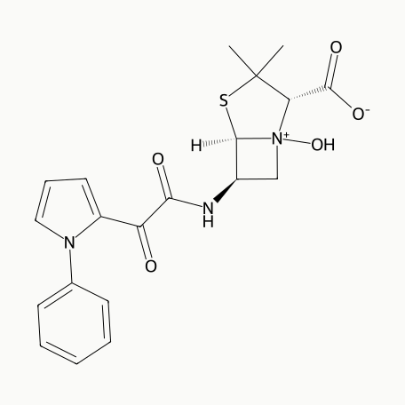 CC1(C)S[C@@H]2[C@H](NC(=O)C(=O)c3cccn3-c3ccccc3)C[N+]2(O)[C@H]1C(=O)[O-]